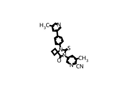 Cc1cncc(-c2ccc(N3C(=S)N(c4cnc(C#N)c(C)c4)C(=O)C34CCC4)cc2)c1